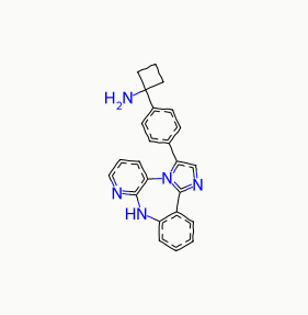 NC1(c2ccc(-c3cnc4n3-c3cccnc3Nc3ccccc3-4)cc2)CCC1